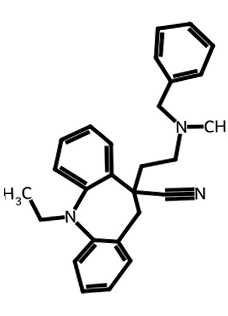 CCN1c2ccccc2CC(C#N)(CCN(C)Cc2ccccc2)c2ccccc21